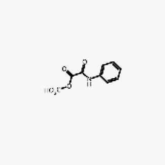 O=C(O)OC(=O)C(=O)Nc1ccccc1